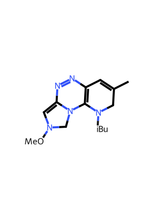 CCC(C)N1CC(C)=CC2=C1N1CN(OC)C=C1N=N2